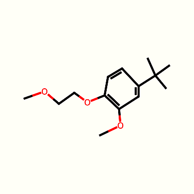 COCCOc1ccc(C(C)(C)C)cc1OC